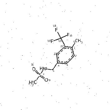 Cc1ccc(CNS(C)(=O)=O)cc1C(F)(F)F